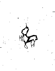 O=c1[nH]c2ccc(I)cc2c2cc[nH]c12